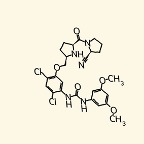 COc1cc(NC(=O)Nc2cc(OC[C@H]3CC[C@@H](C(=O)N4CCC[C@H]4C#N)N3)c(Cl)cc2Cl)cc(OC)c1